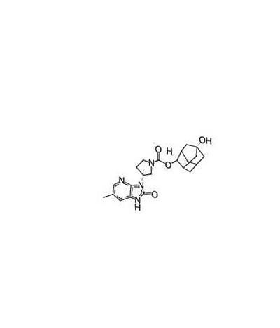 Cc1cnc2c(c1)[nH]c(=O)n2[C@@H]1CCN(C(=O)O[C@H]2C3CC4CC2C[C@](O)(C4)C3)C1